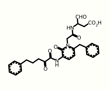 O=CC(CC(=O)O)NC(=O)Cn1c(Cc2ccccc2)ccc(NC(=O)C(=O)CCCc2ccccc2)c1=O